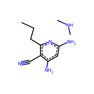 CCCc1nc(N)cc(N)c1C#N.CNC